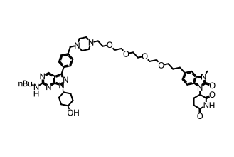 CCCCNc1ncc2c(-c3ccc(CN4CCN(CCOCCOCCOCCOCCCc5ccc6c(c5)n(C)c(=O)n6C5CCC(=O)NC5=O)CC4)cc3)nn([C@H]3CC[C@H](O)CC3)c2n1